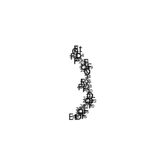 CCOc1ccc(CCc2ccc(OCCCCC(CCCCOc3ccc(CCc4ccc(OCC)c(F)c4F)c(F)c3F)C(F)=C(F)F)c(F)c2F)c(F)c1F